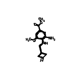 COC(=O)c1cc(N)c(NCC2CNC2)c(OC)c1